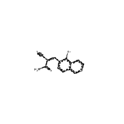 N#C/C(=C/c1ccc2ccccc2c1O)C(N)=S